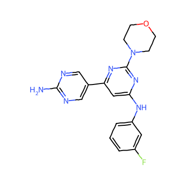 Nc1ncc(-c2cc(Nc3cccc(F)c3)nc(N3CCOCC3)n2)cn1